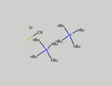 CCCC[N+](CCCC)(CCCC)CCCC.CCCC[N+](CCCC)(CCCC)CCCC.N#C[S-].[Br-]